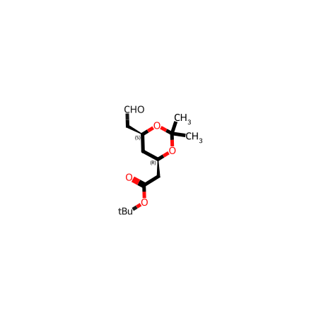 CC(C)(C)OC(=O)C[C@H]1C[C@@H](CC=O)OC(C)(C)O1